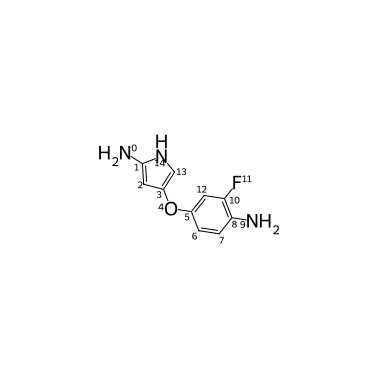 Nc1cc(Oc2ccc(N)c(F)c2)c[nH]1